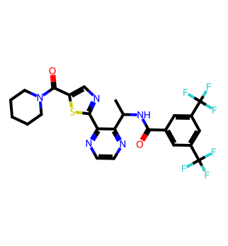 CC(NC(=O)c1cc(C(F)(F)F)cc(C(F)(F)F)c1)c1nccnc1-c1ncc(C(=O)N2CCCCC2)s1